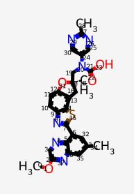 COc1cnc2c(-c3nc4ccc5c(c4s3)C[C@](C)(CN(C(=O)O)c3cnc(C)nc3)O5)cc(C)cc2n1